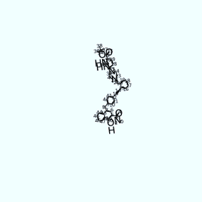 CN(C)C(=O)c1cc(Cc2ccc(C#Cc3ccccc3CN3CCN(C(=N)/C=C\C(=N)C(=O)OC(C)(C)C)CC3)cc2)c2ccccc2c1O